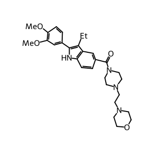 CCc1c(-c2ccc(OC)c(OC)c2)[nH]c2ccc(C(=O)N3CCN(CCN4CCOCC4)CC3)cc12